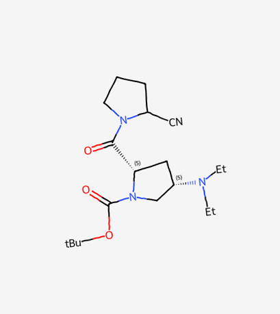 CCN(CC)[C@H]1C[C@@H](C(=O)N2CCCC2C#N)N(C(=O)OC(C)(C)C)C1